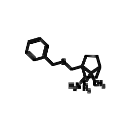 CC1(C)C2CCC1(CSCc1ccccc1)C(N)C2